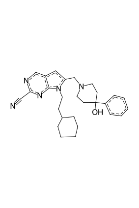 N#Cc1ncc2cc(CN3CCC(O)(c4ccccc4)CC3)n(CCC3CCCCC3)c2n1